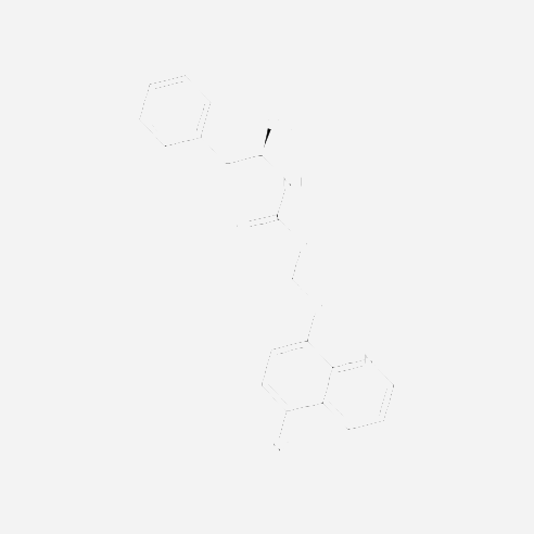 O=C(N[C@@H](Cc1ccccc1)C(=O)O)OCOc1ccc([N+](=O)[O-])c2cccnc12